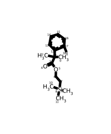 CC(C)(C(=O)OCC[Si](C)(C)C)c1ccccc1I